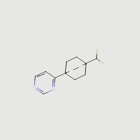 FC(F)C12CCC(c3c[c]ncn3)(CC1)CC2